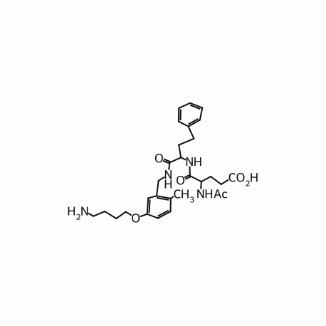 CC(=O)NC(CCC(=O)O)C(=O)NC(CCc1ccccc1)C(=O)NCc1cc(OCCCCN)ccc1C